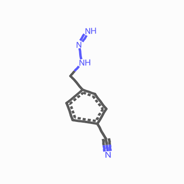 N#Cc1ccc(CNN=N)cc1